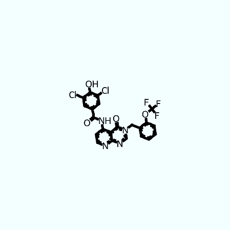 O=C(Nc1ccnc2ncn(Cc3ccccc3OC(F)(F)F)c(=O)c12)c1cc(Cl)c(O)c(Cl)c1